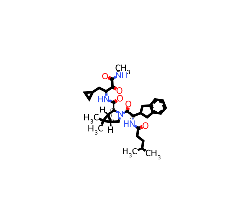 CNC(=O)C(=O)C(CC1CC1)NC(=O)[C@@H]1[C@@H]2[C@H](CN1C(=O)[C@@H](NC(=O)CCC(C)C)C1Cc3ccccc3C1)C2(C)C